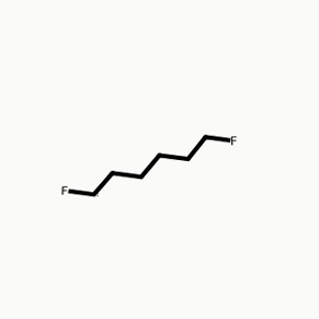 F[C]CCCCCF